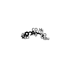 Cc1nn(CC(F)=CCNC(=O)OC(C)(C)C)c(C(=O)O)c1Cc1ccc(S(=O)(=O)N(C)C)c(Cl)c1